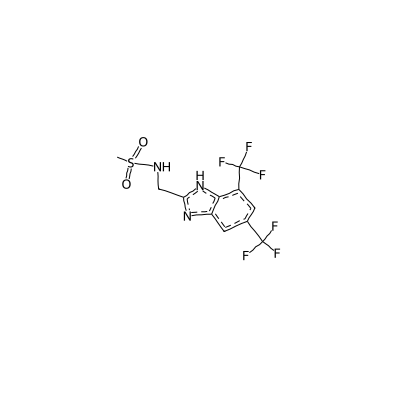 CS(=O)(=O)NCc1nc2cc(C(F)(F)F)cc(C(F)(F)F)c2[nH]1